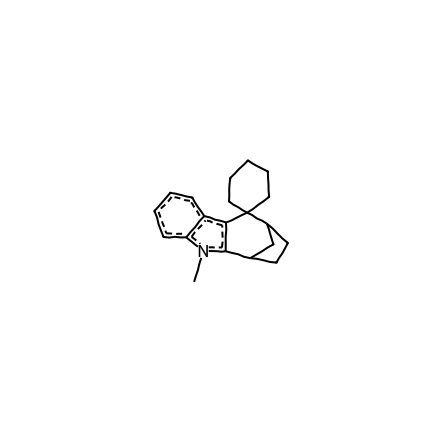 Cn1c2c(c3ccccc31)C1(CCCCC1)C1CCC2C1